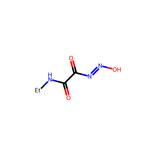 CCNC(=O)C(=O)N=NO